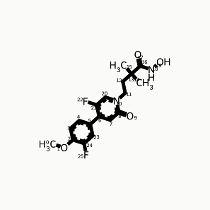 COc1ccc(-c2cc(=O)n(CCC(C)(C)C(=O)NO)cc2F)cc1F